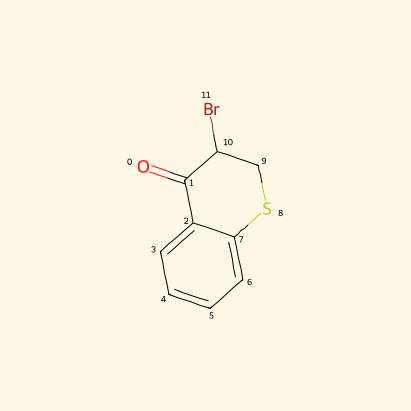 O=C1c2ccccc2SCC1Br